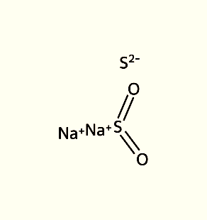 O=S=O.[Na+].[Na+].[S-2]